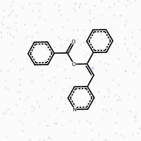 O=C(O/C(=C\c1ccncc1)c1ccccc1)c1ccccc1